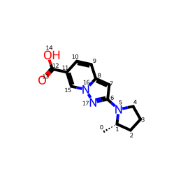 C[C@H]1CCCN1c1cc2ccc(C(=O)O)cn2n1